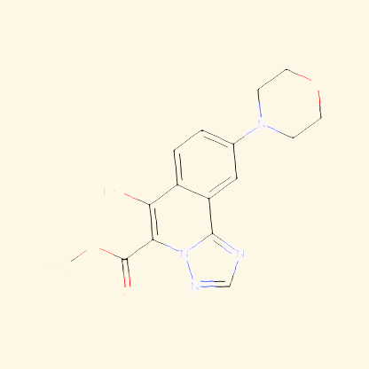 COC(=O)c1c(O)c2ccc(N3CCOCC3)cc2c2ncnn12